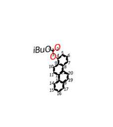 CC(C)COC(=O)Oc1cccc2c1ccc1c3ccccc3ccc21